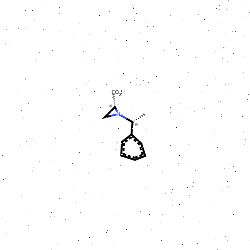 C[C@H](c1ccccc1)N1C[C@@H]1C(=O)O